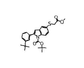 COC(=O)CSc1ccc2c(c1)cc(-c1cccc(C(C)(C)C)c1)n2C(=O)OC(C)(C)C